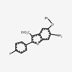 CCOC(=O)c1c(-c2ccc(F)cc2)oc2cc(N)c(OC(C)C)cc12